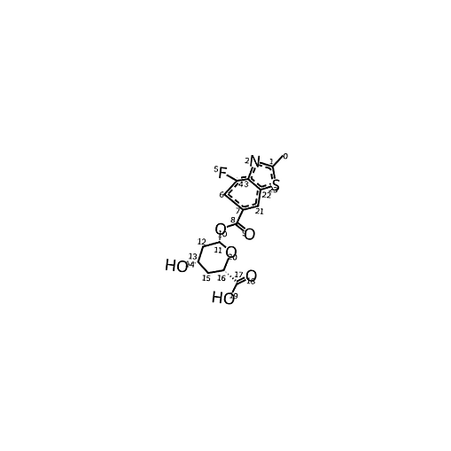 Cc1nc2c(F)cc(C(=O)O[C@H]3C[C@@H](O)C[C@@H](C(=O)O)O3)cc2s1